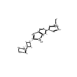 Cn1cc(-c2ccc3nc([C@H]4C[C@H](N5CCC5)C4)sc3c2)cn1